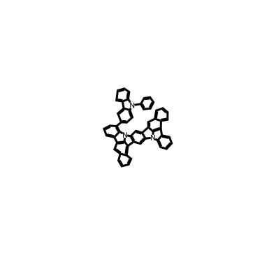 c1ccc(-n2c3ccccc3c3cc(-c4cccc5c6cc7ccccc7c7c8cc9c(cc8n(c45)c67)c4cc5ccccc5c5c6ccccc6n9c45)ccc32)cc1